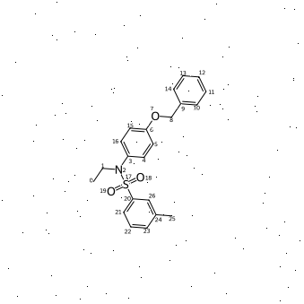 CCN(c1ccc(OCc2ccccc2)cc1)S(=O)(=O)c1cccc(C)c1